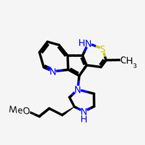 COCCC[C@H]1CN(c2c3nccccc-3c3c2C=C(C)SN3)CCN1